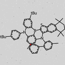 Cc1ccc(-c2ccccc2)c(N2c3cc(C)cc4c3B(c3cc(C(C)(C)C)ccc3N4c3ccc(C(C)(C)C)cc3)c3sc4cc5c(cc4c32)C(C)(C)CCC5(C)C)c1